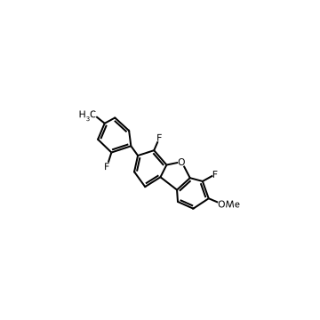 COc1ccc2c(oc3c(F)c(-c4ccc(C)cc4F)ccc32)c1F